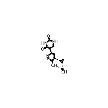 C#C[C@H]1C[C@@H]1c1cc(-c2c[nH]c(=O)[nH]c2=O)nnc1C